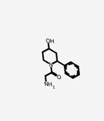 NCC(=O)N1CCC(O)CC1c1ccccc1